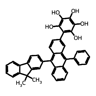 CC1(C)c2ccccc2-c2ccc(-c3c4ccccc4c(-c4ccccc4)c4cc(-c5c(O)c(O)c(O)c(O)c5O)ccc34)cc21